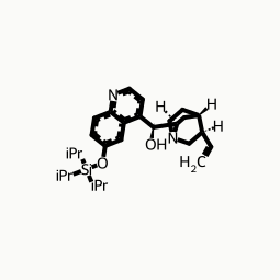 C=C[C@H]1CN2CC[C@H]1C[C@@H]2[C@@H](O)c1ccnc2ccc(O[Si](C(C)C)(C(C)C)C(C)C)cc12